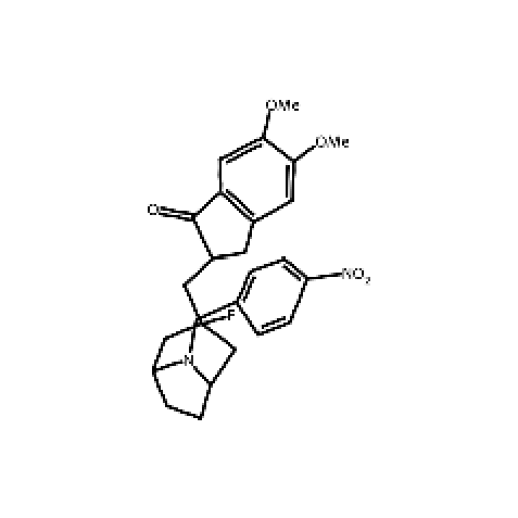 COc1cc2c(cc1OC)C(=O)C(CC1(F)CC3CCC(C1)N3Cc1ccc([N+](=O)[O-])cc1)C2